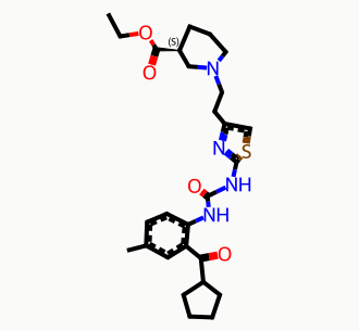 CCOC(=O)[C@H]1CCCN(CCc2csc(NC(=O)Nc3ccc(C)cc3C(=O)C3CCCC3)n2)C1